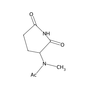 CC(=O)N(C)C1CCC(=O)NC1=O